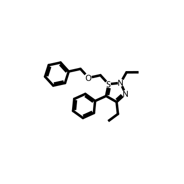 CCC1=NN(CC)S(COCc2ccccc2)=C1c1ccccc1